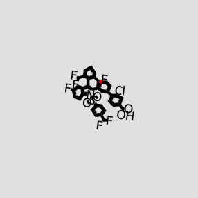 O=C(O)c1ccc(-c2cccc(-c3c(-c4c(C(F)F)cccc4C(F)F)c4cc(F)ccc4n3S(=O)(=O)c3ccc(C(F)F)cc3)c2)c(Cl)c1